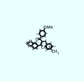 COc1ccc(C(=O)C(Cc2ccc(C)cc2)=C(C(=O)O)c2ccc3nonc3c2)cc1